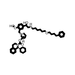 O=C(O[C@H]1C[N+]2(Cc3cc(C(O)CNCCCCCCOCCCCc4ccccc4)ccc3OO)CCC1CC2)N1CCc2ccccc2[C@@H]1C1CCCCC1